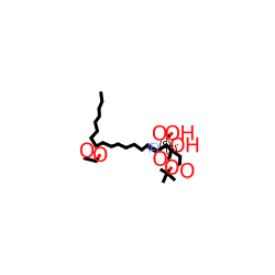 CCCCCCCC1(CCCCCC/C=C/[C@H](C(=O)O)[C@@](O)(CCOC)C(=O)OC(C)(C)C)OCCO1